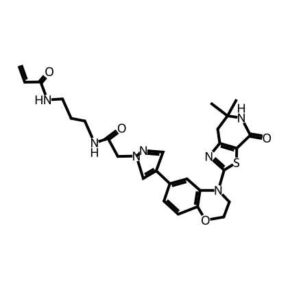 C=CC(=O)NCCCNC(=O)Cn1cc(-c2ccc3c(c2)N(c2nc4c(s2)C(=O)NC(C)(C)C4)CCO3)cn1